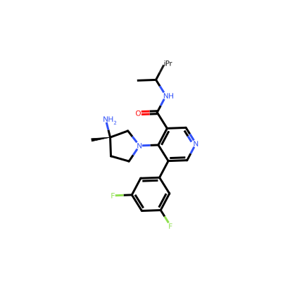 CC(C)C(C)NC(=O)c1cncc(-c2cc(F)cc(F)c2)c1N1CC[C@](C)(N)C1